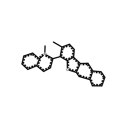 Cc1ccc2c(oc3cc4ccccc4cc32)c1-c1ccc2ccccc2[n+]1C